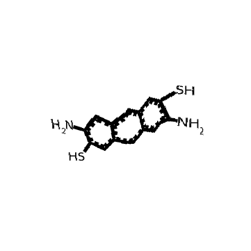 Nc1cc2cc3cc(S)c(N)cc3cc2cc1S